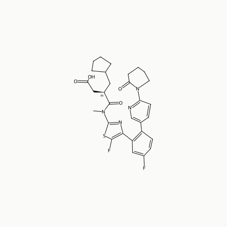 CN(C(=O)[C@@H](CC(=O)O)CC1CCCC1)c1nc(-c2cc(F)ccc2-c2ccc(N3CCCCC3=O)nc2)c(F)s1